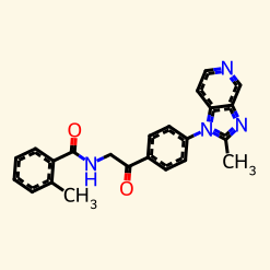 Cc1ccccc1C(=O)NCC(=O)c1ccc(-n2c(C)nc3cnccc32)cc1